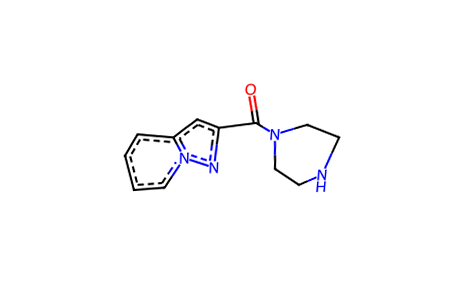 O=C(c1cc2ccccn2n1)N1CCNCC1